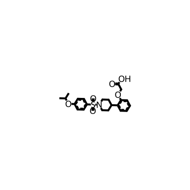 CC(C)Oc1ccc(S(=O)(=O)N2CCC(c3ccccc3OCC(=O)O)CC2)cc1